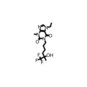 CCn1cnc2c1c(=O)n(CCCCC(C)(O)C(F)(F)F)c(=O)n2C